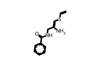 C=CS/C=C(\N)CNC(=O)c1ccccc1